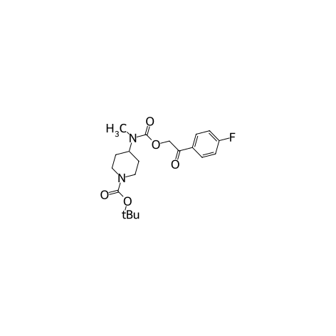 CN(C(=O)OCC(=O)c1ccc(F)cc1)C1CCN(C(=O)OC(C)(C)C)CC1